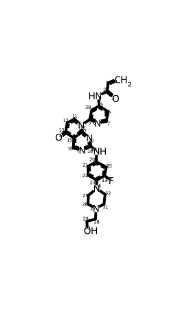 C=CC(=O)Nc1ccnc(-n2ccc(=O)c3cnc(Nc4ccc(N5CCN(CCO)CC5)c(F)c4)nc32)c1